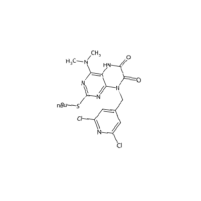 CCCCSc1nc(N(C)C)c2[nH]c(=O)c(=O)n(Cc3cc(Cl)nc(Cl)c3)c2n1